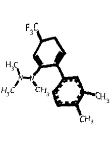 Cc1ccc(C2=CCC(C(F)(F)F)C=C2N(C)N(C)C)cc1C